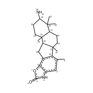 Cc1cc2[nH]c(=O)oc2c2c1C1(C)CCC3C(C)(C)C(N)CCC3(C)C1C2